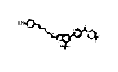 Nc1ccc(/C=C/CSNCc2cc3cc(-c4ccc(C(=S)N5CCC(F)(F)CC5)cn4)cc(C(F)(F)F)c3o2)cn1